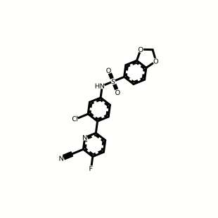 N#Cc1nc(-c2ccc(NS(=O)(=O)c3ccc4c(c3)OCO4)cc2Cl)ccc1F